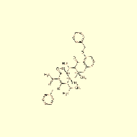 CC(=O)C1=C(OCc2ccccc2)C(C(C)C)[C@@]2(C)C[C@@]3(C)Cc4cccc(OCc5ccccc5)c4C(=O)C3=C(O)[C@@]2(O)C1=O